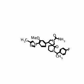 COc1cc(C2CN(C(N)=O)CC23CCCN(C(C)c2ccc(F)cc2)C3=O)ccc1-n1cnc(C)c1